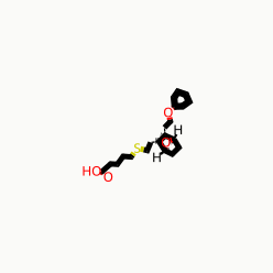 O=C(O)CCCCSCC[C@@H]1[C@H](CCOc2ccccc2)[C@@H]2CC[C@H]1O2